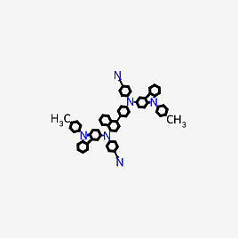 Cc1ccc(-n2c3ccccc3c3cc(N(c4ccc(C#N)cc4)c4ccc(-c5ccc(N(c6ccc(C#N)cc6)c6ccc7c(c6)c6ccccc6n7-c6ccc(C)cc6)c6ccccc56)cc4)ccc32)cc1